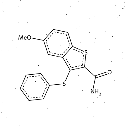 COc1ccc2sc(C(N)=O)c(Sc3ccccc3)c2c1